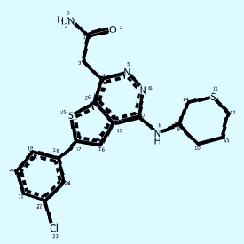 NC(=O)Cc1nnc(NC2CCCSC2)c2cc(-c3cccc(Cl)c3)sc12